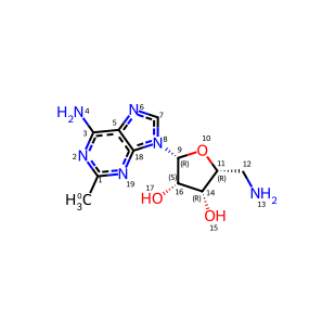 Cc1nc(N)c2ncn([C@@H]3O[C@H](CN)[C@H](O)[C@@H]3O)c2n1